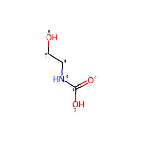 O=C(O)NCCO